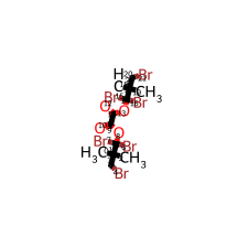 CC(C)(CBr)C(Br)(Br)OC(=O)C(=O)OC(Br)(Br)C(C)(C)CBr